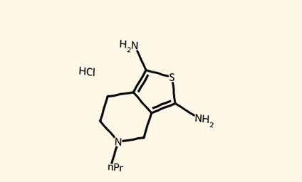 CCCN1CCc2c(N)sc(N)c2C1.Cl